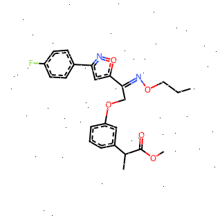 CCCO/N=C(\COc1cccc(C(C)C(=O)OC)c1)c1cc(-c2ccc(F)cc2)no1